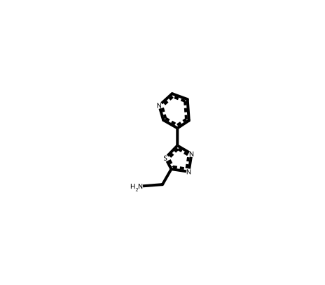 NCc1nnc(-c2cccnc2)s1